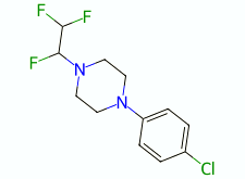 FC(F)C(F)N1CCN(c2ccc(Cl)cc2)CC1